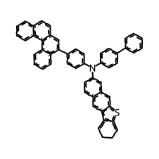 C1=c2sc3cc4cc(N(c5ccc(-c6ccccc6)cc5)c5ccc(-c6cc7ccc8ccccc8c7c7ccccc67)cc5)ccc4cc3c2=CCC1